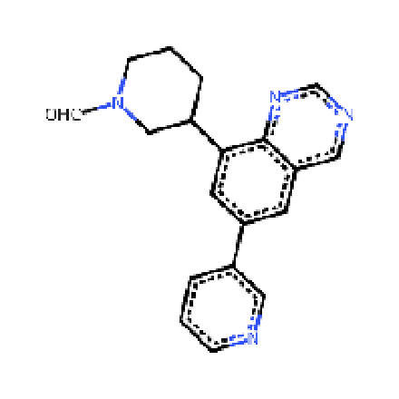 O=CN1CCCC(c2cc(-c3cccnc3)cc3cncnc23)C1